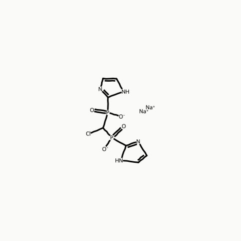 O=P([O-])(c1ncc[nH]1)C(Cl)P(=O)([O-])c1ncc[nH]1.[Na+].[Na+]